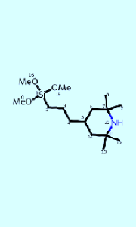 CO[Si](CCCC1CC(C)(C)NC(C)(C)C1)(OC)OC